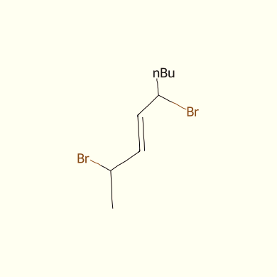 CCCCC(Br)C=CC(C)Br